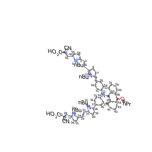 CCCCn1c(/C=C/c2ccc(-c3ccc(N(c4ccc(-c5ccc(/C=C/c6ccc(/C=C(\C#N)C(=O)O)n6CCCC)n5CCCC)cc4)c4c5ccccc5c(OCCC)c5ccccc45)cc3)n2CCCC)ccc1/C=C(\C#N)C(=O)O